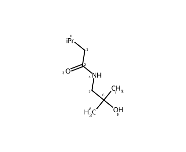 CC(C)CC(=O)NCC(C)(C)O